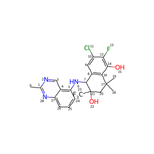 Cc1ncc2c(NC3c4cc(Cl)c(F)c(O)c4C(C)(C)CC3(O)C(F)(F)F)cccc2n1